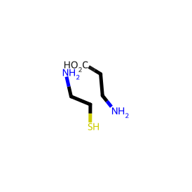 NCCC(=O)O.NCCS